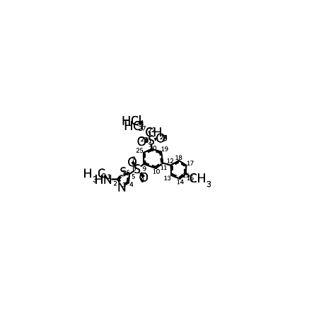 CNc1ncc(S(=O)(=O)c2cc(-c3ccc(C)cc3)cc(S(C)(=O)=O)c2)s1.Cl.Cl